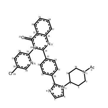 CC(=O)N1CCC(n2ccnc2-c2ccc(-c3nc4ccccc4c(=O)n3-c3ccc(Cl)cn3)cc2)CC1